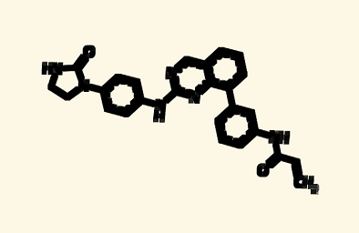 C=CC(=O)Nc1cccc(-c2cccc3cnc(Nc4ccc(N5CCNC5=O)cc4)nc23)c1